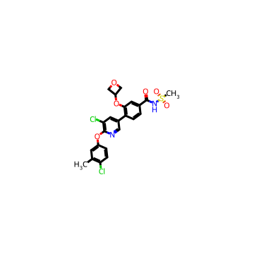 Cc1cc(Oc2ncc(-c3ccc(C(=O)NS(C)(=O)=O)cc3OC3COC3)cc2Cl)ccc1Cl